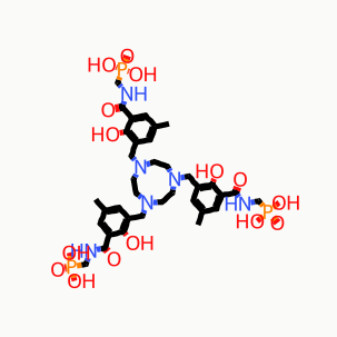 Cc1cc(CN2CCN(Cc3cc(C)cc(C(=O)NCP(=O)(O)O)c3O)CCN(Cc3cc(C)cc(C(=O)NCP(=O)(O)O)c3O)CC2)c(O)c(C(=O)NCP(=O)(O)O)c1